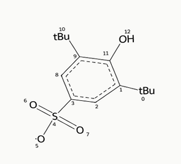 CC(C)(C)c1cc(S([O])(=O)=O)cc(C(C)(C)C)c1O